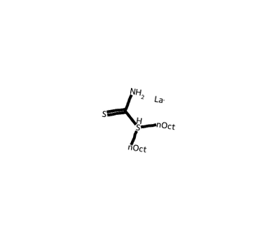 CCCCCCCC[SH](CCCCCCCC)C(N)=S.[La]